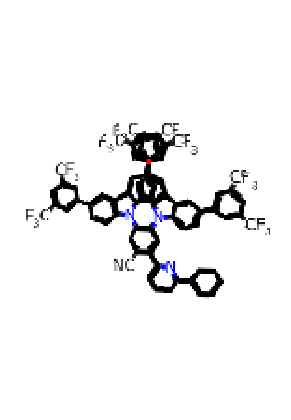 N#Cc1cc(-n2c3ccc(-c4cc(C(F)(F)F)cc(C(F)(F)F)c4)cc3c3cc(-c4cc(C(F)(F)F)cc(C(F)(F)F)c4)ccc32)c(-n2c3ccc(-c4cc(C(F)(F)F)cc(C(F)(F)F)c4)cc3c3cc(-c4cc(C(F)(F)F)cc(C(F)(F)F)c4)ccc32)cc1-c1cccc(-c2ccccc2)n1